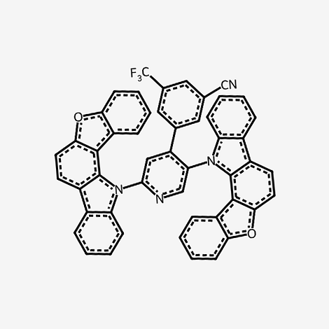 N#Cc1cc(-c2cc(-n3c4ccccc4c4ccc5oc6ccccc6c5c43)ncc2-n2c3ccccc3c3ccc4oc5ccccc5c4c32)cc(C(F)(F)F)c1